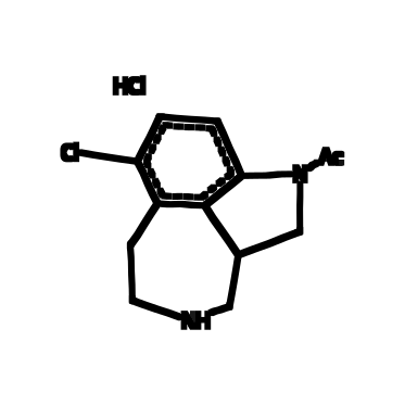 CC(=O)N1CC2CNCCc3c(Cl)ccc1c32.Cl